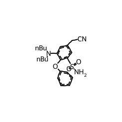 CCCCN(CCCC)c1cc(CC#N)cc(S(N)(=O)=O)c1Oc1ccccc1